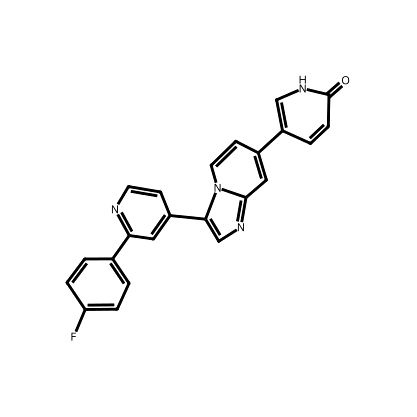 O=c1ccc(-c2ccn3c(-c4ccnc(-c5ccc(F)cc5)c4)cnc3c2)c[nH]1